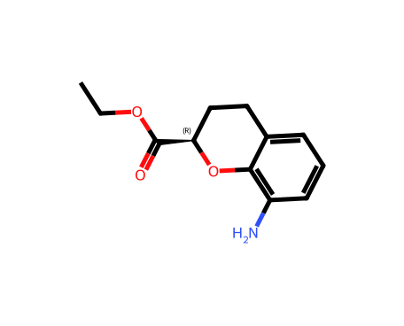 CCOC(=O)[C@H]1CCc2cccc(N)c2O1